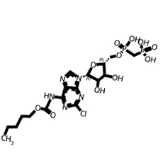 CCCCCOC(=O)Nc1nc(Cl)nc2c1ncn2[C@@H]1O[C@H](COP(=O)(O)CP(=O)(O)O)C(O)C1O